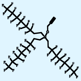 C#CCO[Si](CCC(F)(F)C(F)(F)C(F)(F)C(F)(F)C(F)(F)C(F)(F)F)(CCC(F)(F)C(F)(F)C(F)(F)C(F)(F)C(F)(F)C(F)(F)F)CCC(F)(F)C(F)(F)C(F)(F)C(F)(F)C(F)(F)C(F)(F)F